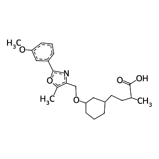 COc1cccc(-c2nc(COC3CCCC(CCC(C)C(=O)O)C3)c(C)o2)c1